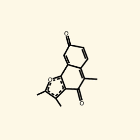 CC1=C2C=CC(=O)C=C2c2oc(C)c(C)c2C1=O